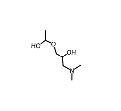 CC(O)OCC(O)CN(C)C